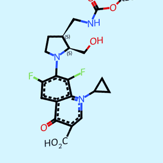 CC(C)(C)OC(=O)NC[C@@H]1CCN(c2c(F)cc3c(=O)c(C(=O)O)cn(C4CC4)c3c2F)[C@@H]1CO